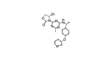 CCC1COC(=O)N1c1nc(C)nc(N[C@@H](C)c2ccc(Oc3cccnc3)cc2)n1